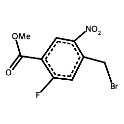 COC(=O)c1cc([N+](=O)[O-])c(CBr)cc1F